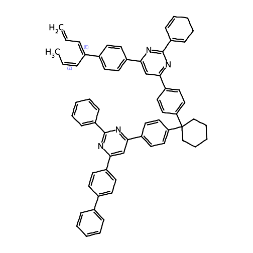 C=C/C=C(\C=C/C)c1ccc(-c2cc(-c3ccc(C4(c5ccc(-c6cc(-c7ccc(-c8ccccc8)cc7)nc(-c7ccccc7)n6)cc5)CCCCC4)cc3)nc(C3=CCCC=C3)n2)cc1